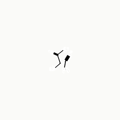 CC#N.O=C(O)CO